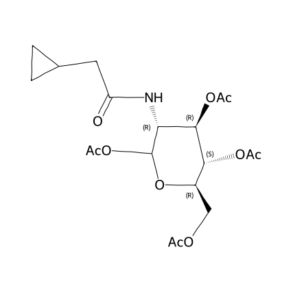 CC(=O)OC[C@H]1OC(OC(C)=O)[C@H](NC(=O)CC2CC2)[C@@H](OC(C)=O)[C@@H]1OC(C)=O